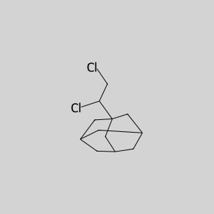 ClCC(Cl)C12CC3CC(CC(C3)C1)C2